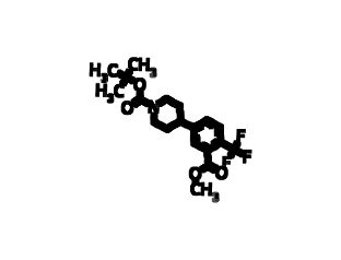 COC(=O)c1cc(C2CCN(C(=O)OC(C)(C)C)CC2)ccc1C(F)(F)F